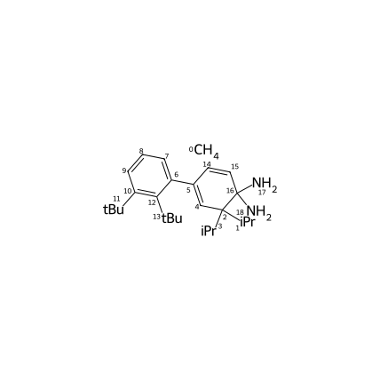 C.CC(C)C1(C(C)C)C=C(c2cccc(C(C)(C)C)c2C(C)(C)C)C=CC1(N)N